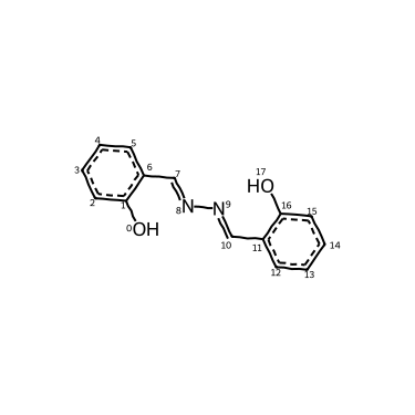 Oc1ccccc1C=NN=Cc1ccccc1O